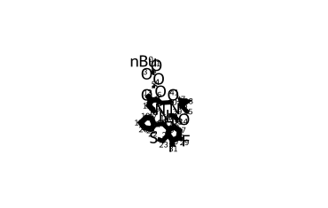 CCCCOC(=O)OCOc1c2n(ccc1=O)N([C@@H]1c3ccccc3SCc3c1ccc(F)c3F)[C@@H]1COCC3(CC3)N1C2=O